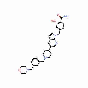 NC(=O)c1ccc(Cn2ccc3cc(C4CCN(Cc5cccc(CN6CCOCC6)c5)CC4)cnc32)cc1O